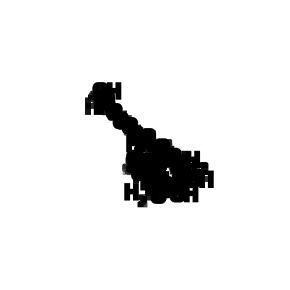 CCC(=O)N[C@H](C(=O)NCC(=O)N[C@H]1C[S+]([O-])c2[nH]c3c(CSCCNC(=O)CCOCCOCCOCCOCCNC(=O)CC(C)C(=O)O)c(OC)ccc3c2C[C@@H](C(N)=O)NC(=O)[C@H]([C@@H](C)[C@@H](O)CO)NC(=O)[C@@H]2C[C@@H](O)CN2C(=O)[C@H](CCC(N)=O)NC1=O)[C@@H](C)CC